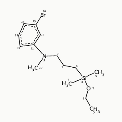 CCO[Si](C)(C)CCCN(C)c1cccc(Br)c1